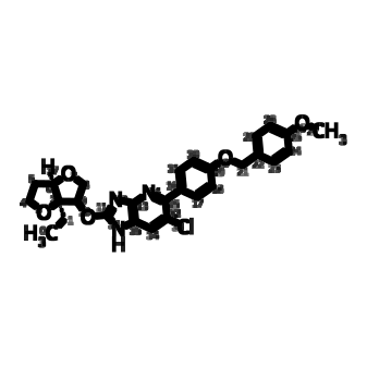 CC[C@]12OCC[C@H]1OCC2Oc1nc2nc(-c3ccc(OCc4ccc(OC)cc4)cc3)c(Cl)cc2[nH]1